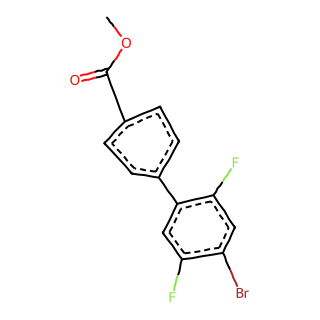 COC(=O)c1ccc(-c2cc(F)c(Br)cc2F)cc1